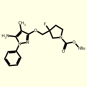 CCCCOC(=O)N1CCC(F)(COc2nn(-c3ccccc3)c(N)c2C)C1